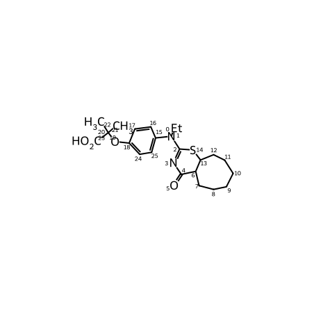 CCN(C1=NC(=O)C2CCCCCCC2S1)c1ccc(OC(C)(C)C(=O)O)cc1